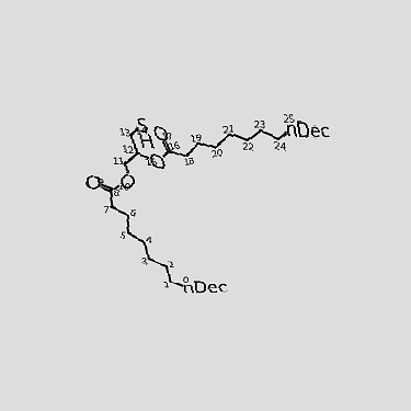 CCCCCCCCCCCCCCCCCC(=O)OCC(CS)OC(=O)CCCCCCCCCCCCCCCCC